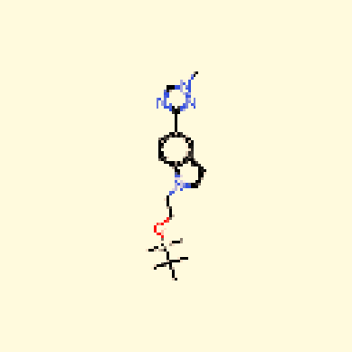 Cn1cnc(-c2ccc3c(ccn3CCO[Si](C)(C)C(C)(C)C)c2)n1